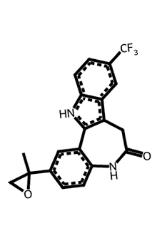 CC1(c2ccc3c(c2)-c2[nH]c4ccc(C(F)(F)F)cc4c2CC(=O)N3)CO1